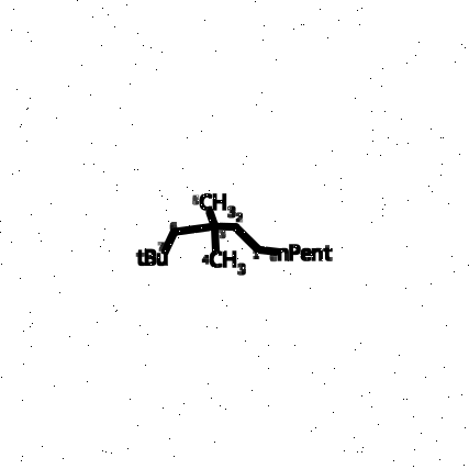 [CH2]CCCCCCC(C)(C)CC(C)(C)C